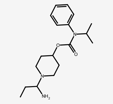 CCC(N)N1CCC(OC(=O)N(c2ccccc2)C(C)C)CC1